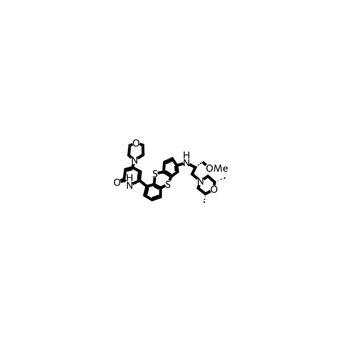 COC[C@H](CN1C[C@@H](C)O[C@@H](C)C1)Nc1ccc2c(c1)Sc1cccc(-c3cc(N4CCOCC4)cc(=O)[nH]3)c1S2